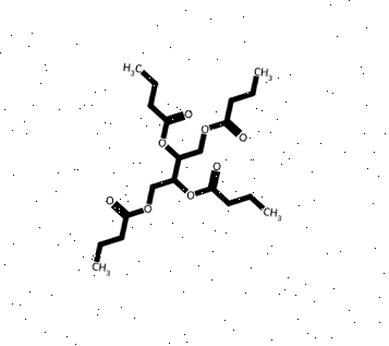 CCCC(=O)OCC(OC(=O)CCC)C(COC(=O)CCC)OC(=O)CCC